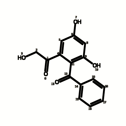 O=C(CO)c1cc(O)cc(O)c1C(=O)c1ccccc1